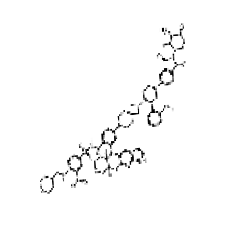 Cc1ccccc1[C@@H]1CN(c2ccc3c(c2)C(=O)N(C2CCC(=O)N(C)C2=O)C3=O)CCN1C1CC2(CCN(c3ccc(C(=O)NS(=O)(=O)c4ccc(NCC5CCOCC5)c([N+](=O)[O-])c4)c(N4c5cc6cc[nH]c6nc5O[C@H]5COCC[C@@H]54)c3)CC2)C1